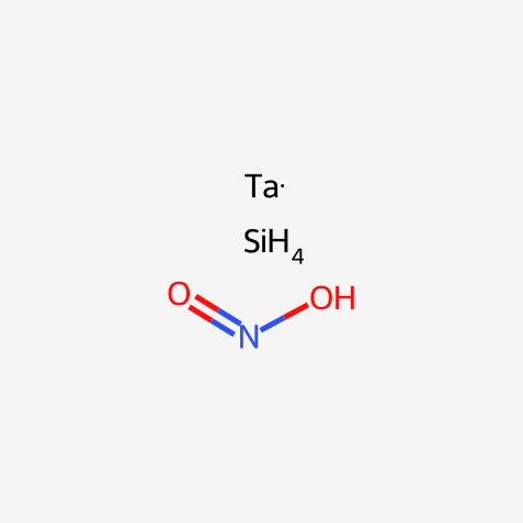 O=NO.[SiH4].[Ta]